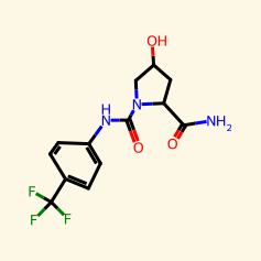 NC(=O)C1CC(O)CN1C(=O)Nc1ccc(C(F)(F)F)cc1